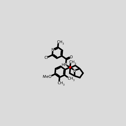 COc1ccc(C(C)N2C3CCC2CC(NC(=O)c2cc(C)nc(Cl)c2)C3)c(C)c1C